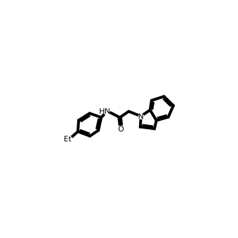 CCc1ccc(NC(=O)Cn2ccc3ccccc32)cc1